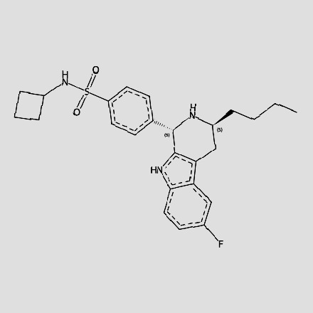 CCCC[C@H]1Cc2c([nH]c3ccc(F)cc23)[C@H](c2ccc(S(=O)(=O)NC3CCC3)cc2)N1